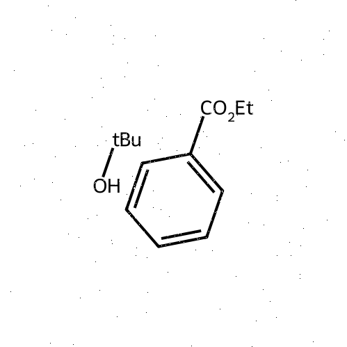 CC(C)(C)O.CCOC(=O)c1ccccc1